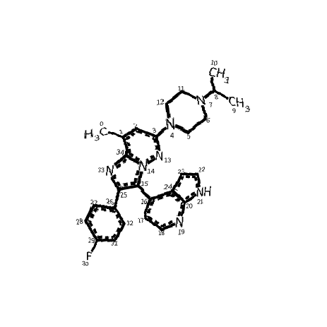 Cc1cc(N2CCN(C(C)C)CC2)nn2c(-c3ccnc4[nH]ccc34)c(-c3ccc(F)cc3)nc12